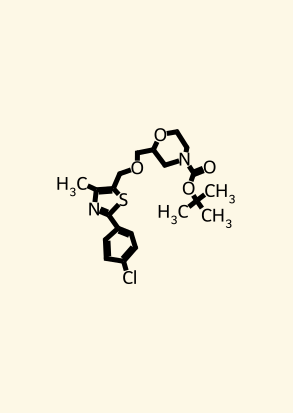 Cc1nc(-c2ccc(Cl)cc2)sc1COCC1CN(C(=O)OC(C)(C)C)CCO1